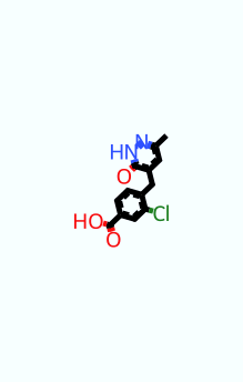 Cc1cc(Cc2ccc(C(=O)O)cc2Cl)c(=O)[nH]n1